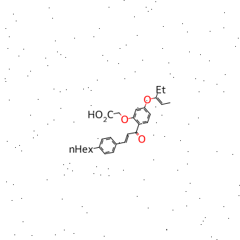 CC=C(CC)Oc1ccc(C(=O)C=Cc2ccc(CCCCCC)cc2)c(OCC(=O)O)c1